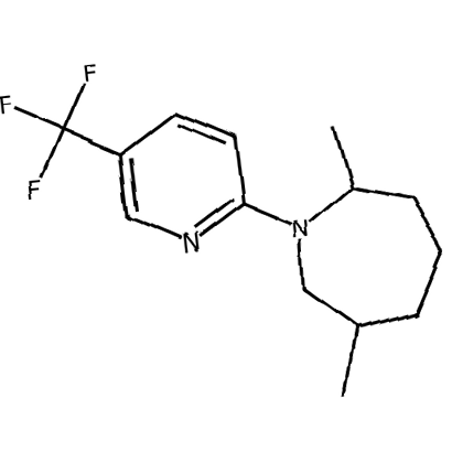 CC1CCCC(C)N(c2ccc(C(F)(F)F)cn2)C1